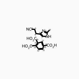 Cc1nc(CCC#N)c[nH]1.O=C(O)c1ccc(C(=O)O)c(C(=O)O)c1